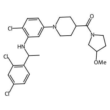 COC1CCN(C(=O)C2CCN(c3ccc(Cl)c(NC(C)c4ccc(Cl)cc4Cl)c3)CC2)C1